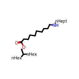 CCCCCCCNCCCCCCCCCC(=O)OCC(CCCCCC)CCCCCC